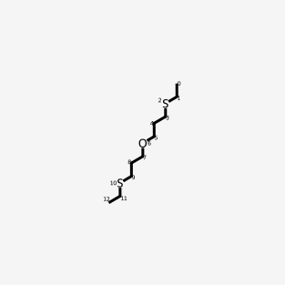 CCSCCCOCCCSCC